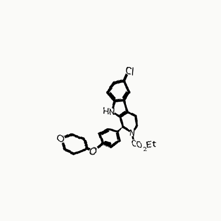 CCOC(=O)N1CCc2c([nH]c3c2=CC(Cl)CC=3)[C@@H]1c1ccc(OC2CCOCC2)cc1